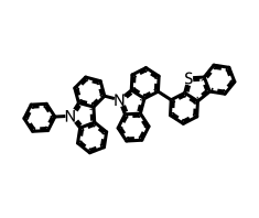 c1ccc(-n2c3ccccc3c3c(-n4c5ccccc5c5c(-c6cccc7c6sc6ccccc67)cccc54)cccc32)cc1